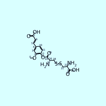 COc1cc(C=CC(=O)O)ccc1OC(=O)[C@@H](N)CSSCC(N)C(=O)O